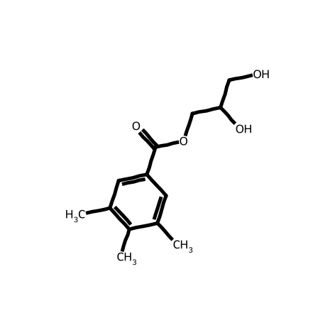 Cc1cc(C(=O)OCC(O)CO)cc(C)c1C